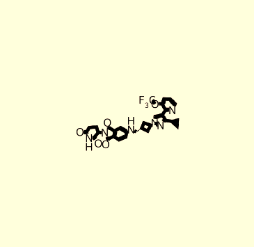 O=C1CCC(N2C(=O)c3ccc(NC[C@H]4C[C@H](n5cc(-c6ncccc6OC(F)(F)F)c(C6CC6)n5)C4)cc3C2=O)C(=O)N1